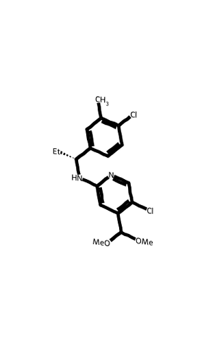 CC[C@@H](Nc1cc(C(OC)OC)c(Cl)cn1)c1ccc(Cl)c(C)c1